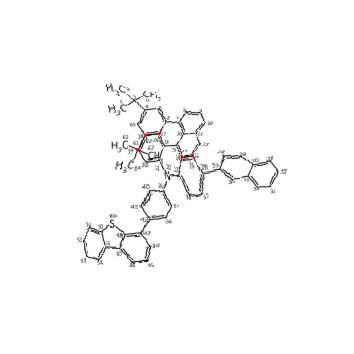 CC(C)(C)c1cc(-c2cccc3cccc(-c4ccccc4N(c4ccc(-c5ccc6ccccc6c5)cc4)c4ccc(-c5cccc6c5sc5ccccc56)cc4)c23)cc(C(C)(C)C)c1